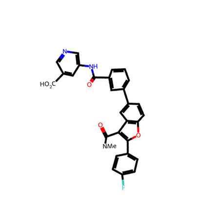 CNC(=O)c1c(-c2ccc(F)cc2)oc2ccc(-c3cccc(C(=O)Nc4cncc(C(=O)O)c4)c3)cc12